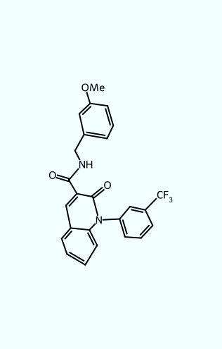 COc1cccc(CNC(=O)c2cc3ccccc3n(-c3cccc(C(F)(F)F)c3)c2=O)c1